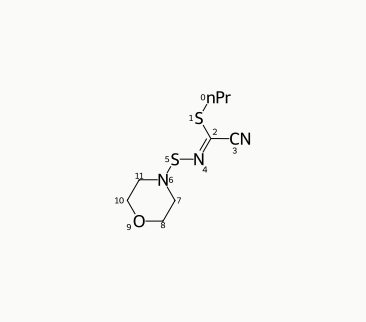 CCCSC(C#N)=NSN1CCOCC1